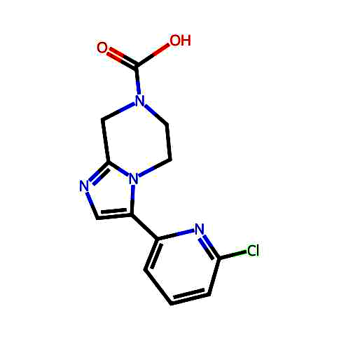 O=C(O)N1CCn2c(-c3cccc(Cl)n3)cnc2C1